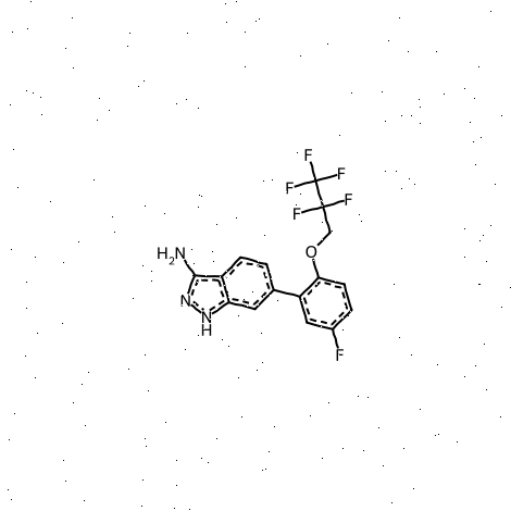 Nc1n[nH]c2cc(-c3cc(F)ccc3OCC(F)(F)C(F)(F)F)ccc12